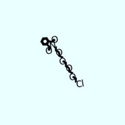 O=C1c2ccccc2C(=O)N1CCOCCOCCOCCOCCCl